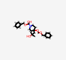 CC(C)(O)CC1(OCOCc2ccccc2)CCN(C(O)OCc2ccccc2)CC1